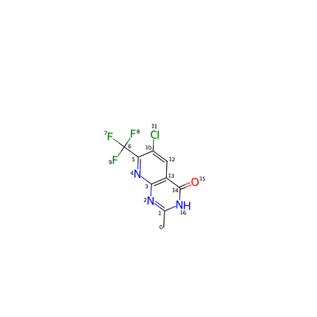 Cc1nc2nc(C(F)(F)F)c(Cl)cc2c(=O)[nH]1